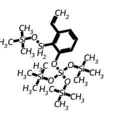 C=Cc1cccc(O[Si](O[Si](C)(C)C)(O[Si](C)(C)C)O[Si](C)(C)C)c1[SiH2]O[Si](C)(C)C